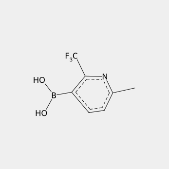 Cc1ccc(B(O)O)c(C(F)(F)F)n1